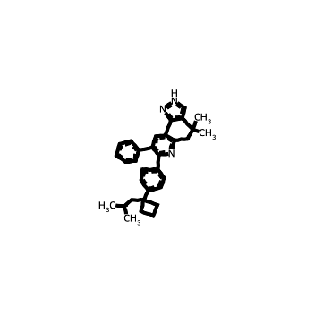 C[C](C)CC1(c2ccc(-c3nc4c(cc3-c3ccccc3)-c3n[nH]cc3C(C)(C)C4)cc2)CCC1